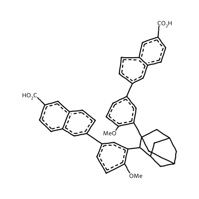 COc1ccc(-c2ccc3cc(C(=O)O)ccc3c2)cc1C1C2CC3CC(C2)CC1(c1cc(-c2ccc4cc(C(=O)O)ccc4c2)ccc1OC)C3